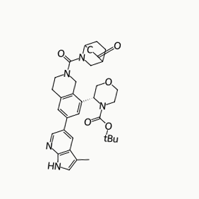 Cc1c[nH]c2ncc(-c3cc4c(c([C@@H]5COCCN5C(=O)OC(C)(C)C)c3)CN(C(=O)N3CC5CCC3CC5=O)CC4)cc12